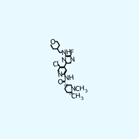 C[C@H]1CC[C@H](C(=O)Nc2cc(-c3cnc(F)c(NCC4CCOCC4)n3)c(Cl)cn2)CN1C